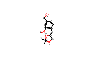 COc1cc(CO)ccc1CC1COC(C)(C)O1